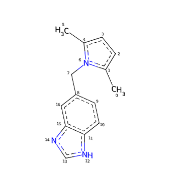 Cc1ccc(C)n1Cc1ccc2[nH]cnc2c1